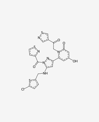 O=C(Cn1c(-c2cc(NCc3ccc(Cl)s3)n(C(=O)c3ccsn3)n2)cc(O)cc1=O)c1cnsc1